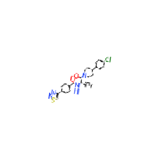 CC(C)[C@@H](NC(=O)c1ccc(-c2csnn2)cc1)C(=O)N1CCC(c2ccc(Cl)cc2)CC1